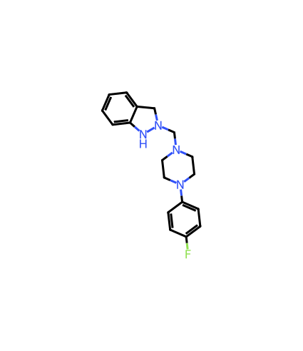 Fc1ccc(N2CCN(CN3Cc4ccccc4N3)CC2)cc1